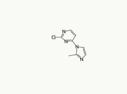 Cc1nccn1-c1ccnc(Cl)n1